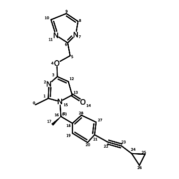 Cc1nc(OCc2ncccn2)cc(=O)n1[C@H](C)c1ccc(C#CC2CC2)cc1